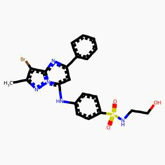 Cc1nn2c(Nc3ccc(S(=O)(=O)NCCO)cc3)cc(-c3ccccc3)nc2c1Br